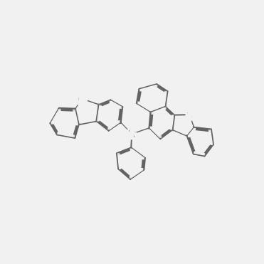 c1ccc(N(c2ccc3oc4ccccc4c3c2)c2cc3c4ccccc4sc3c3ccccc23)cc1